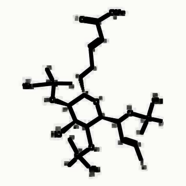 COC(=O)/C=C/CC[C@@H]1O[C@@H](C(/C=C/I)O[Si](C)(C)C(C)(C)C)C(O[Si](C)(C)C(C)(C)C)[C@@H](O)[C@H]1O[Si](C)(C)C(C)(C)C